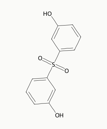 O=S(=O)(c1cccc(O)c1)c1cccc(O)c1